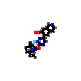 C[C@@]12CC[C@@H](N1)[C@H](F)[C@@H](Oc1ncc(-c3cc4ccncc4cc3O)nn1)C2